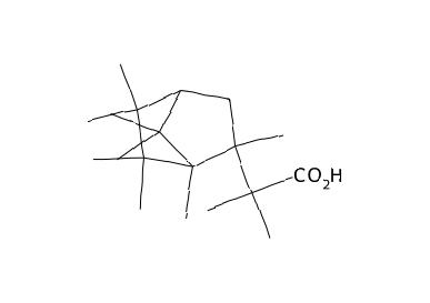 CC(C)(C(=O)O)C1(C)CC2C(C)(C)C(C)(C)C1(C)C2(C)C